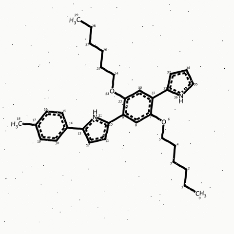 CCCCCCOc1cc(-c2ccc(-c3ccc(C)cc3)[nH]2)c(OCCCCCC)cc1-c1ccc[nH]1